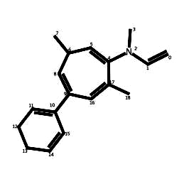 C=CN(C)C1=CC(C)C=C(C2=CCCC=C2)C=C1C